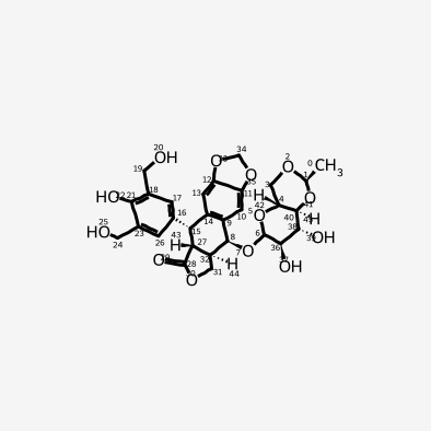 C[C@@H]1OC[C@H]2OC(O[C@@H]3c4cc5c(cc4[C@@H](c4cc(CO)c(O)c(CO)c4)[C@H]4C(=O)OC[C@@H]43)OCO5)[C@H](O)[C@@H](O)[C@@H]2O1